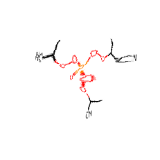 CC(C#N)OOP(=O)(OOC(C)C#N)OOC(C)C#N